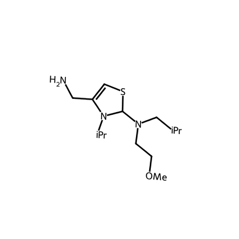 COCCN(CC(C)C)C1SC=C(CN)N1C(C)C